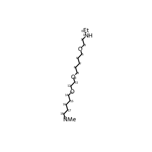 CCNCCOCCCCCOCCOCCCCCNC